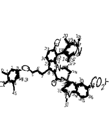 Cc1cc(OCCCc2c3n(c4c(-c5c(C)nn(C)c5C)c(Cl)ccc24)[C@H](C)CN(c2cn(C)c4ccc(C(=O)O)cc24)C3=O)cc(C)c1Cl